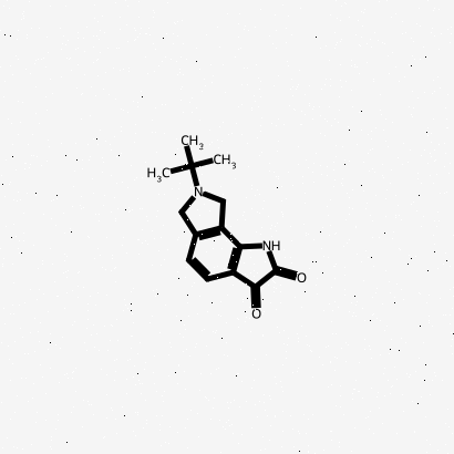 CC(C)(C)N1Cc2ccc3c(c2C1)NC(=O)C3=O